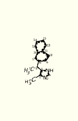 Cc1nc[nH]c1[C@H](C)c1ccc2ccccc2c1